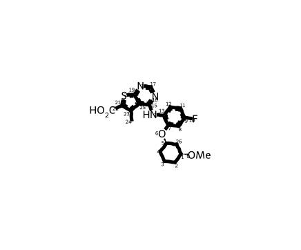 CO[C@@H]1CCC[C@H](Oc2cc(F)ccc2Nc2ncnc3sc(C(=O)O)c(C)c23)C1